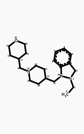 CCN1Cc2ccccc2N1CC1CCN(CC2CCOCC2)CC1